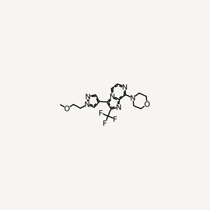 COCCn1cc(-c2c(C(F)(F)F)nc3c(N4CCOCC4)nccn23)cn1